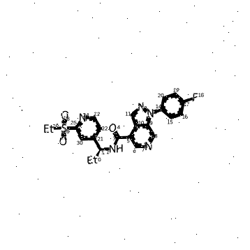 CC[C@H](NC(=O)c1cncc2c1cnn2-c1ccc(F)cc1)c1ccnc(S(=O)(=O)CC)c1